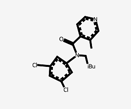 CCC(C)CN(C(=O)c1ccncc1C)c1cc(Cl)cc(Cl)c1